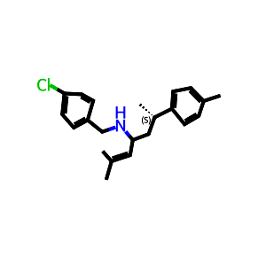 CC(C)=CC(C[C@H](C)c1ccc(C)cc1)NCc1ccc(Cl)cc1